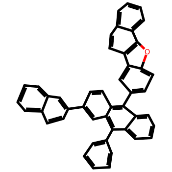 c1ccc(-c2c3ccccc3c(-c3ccc4oc5c6ccccc6ccc5c4c3)c3ccc(-c4ccc5ccccc5c4)cc23)cc1